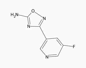 Nc1nc(-c2cncc(F)c2)no1